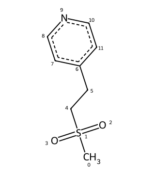 CS(=O)(=O)CCc1ccncc1